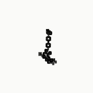 C[C@H](OCc1ccc(-c2ccc(-c3cnco3)cc2)cc1)C(=O)N1CC(C)(C)OC1=O